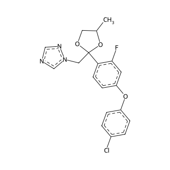 CC1COC(Cn2cncn2)(c2ccc(Oc3ccc(Cl)cc3)cc2F)O1